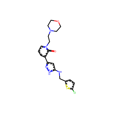 O=c1c(-c2cc(NCc3ccc(Cl)s3)[nH]n2)cccn1CCN1CCOCC1